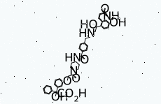 O=C(NC1CCN(C(=O)COc2cccc([C@](O)(C(=O)O)c3ccccc3)c2)CC1)c1ccc(CCNC[C@H](O)c2ccc(O)c3[nH]c(=O)ccc23)cc1